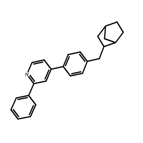 c1ccc(-c2cc(-c3ccc(CC4CC5CCC4C5)cc3)ccn2)cc1